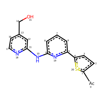 CC(=O)c1ccc(-c2cccc(Nc3cc(CO)ccn3)n2)s1